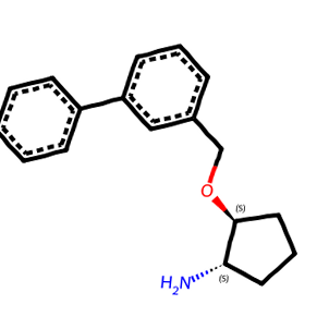 N[C@H]1CCC[C@@H]1OCc1cccc(-c2ccccc2)c1